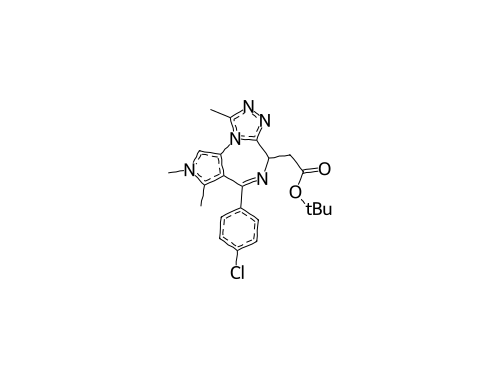 Cc1c2c(cn1C)-n1c(C)nnc1C(CC(=O)OC(C)(C)C)N=C2c1ccc(Cl)cc1